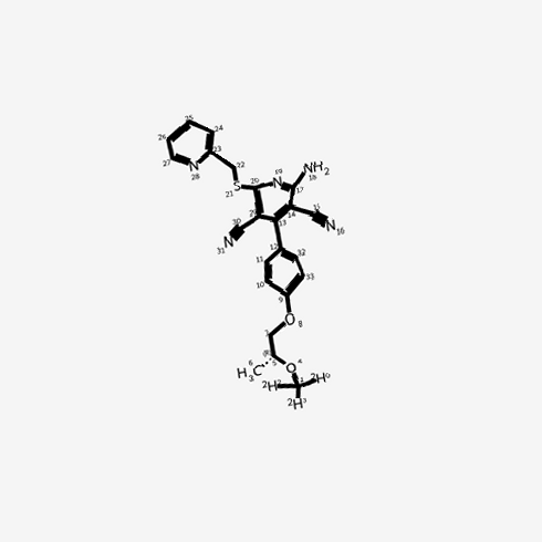 [2H]C([2H])([2H])O[C@H](C)COc1ccc(-c2c(C#N)c(N)nc(SCc3ccccn3)c2C#N)cc1